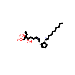 C=CC(O)(CO)C(O)CC/C=C\C[C@H]1CCC[C@@H]1/C=C/CCCCCCCC